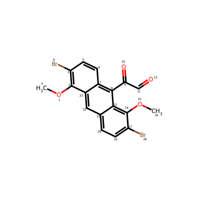 COc1c(Br)ccc2c(C(=O)C=O)c3c(OC)c(Br)ccc3cc12